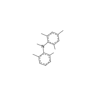 Cc1cc(C)c(N(C)c2c(C)cccc2C)c(C)c1